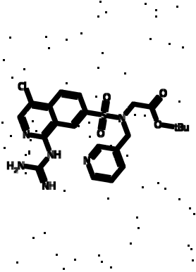 CC(C)(C)OC(=O)CN(Cc1cccnc1)S(=O)(=O)c1ccc2c(Cl)cnc(NC(=N)N)c2c1